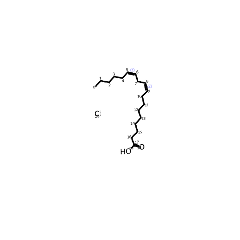 CCCCC/C=C\C/C=C\CCCCCCCC(=O)O.[C]